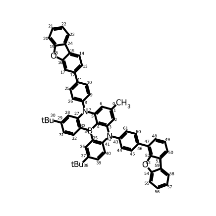 Cc1cc2c3c(c1)N(c1ccc(-c4ccc5c(c4)oc4ccccc45)cc1)c1cc(C(C)(C)C)ccc1B3c1cc(C(C)(C)C)ccc1N2c1ccc(-c2cccc3c2oc2ccccc23)cc1